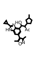 CC(=O)C(C1CCC(C)C1)C(O)c1cc(-c2c(C)noc2C)cc2[nH]c(C3CC3)nc12